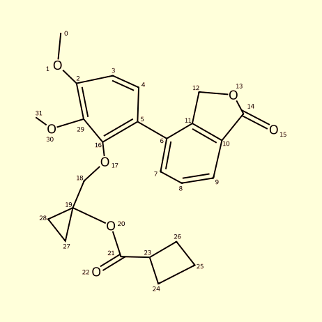 COc1ccc(-c2cccc3c2COC3=O)c(OCC2(OC(=O)C3CCC3)CC2)c1OC